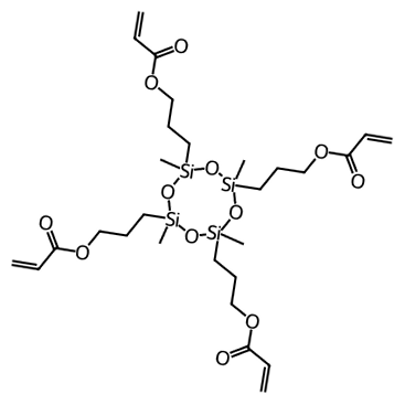 C=CC(=O)OCCC[Si]1(C)O[Si](C)(CCCOC(=O)C=C)O[Si](C)(CCCOC(=O)C=C)O[Si](C)(CCCOC(=O)C=C)O1